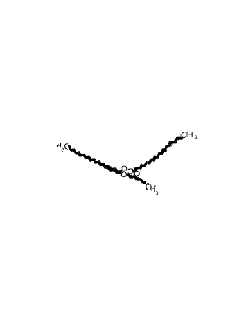 CCCCCCCCCCCCCCCCCCCCCC(=O)OC(CCCCCCC)OC(=O)CCCCCCCCCCCCCCCCCCCCC